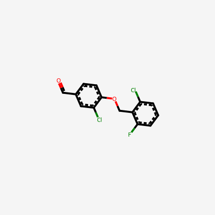 O=Cc1ccc(OCc2c(F)cccc2Cl)c(Cl)c1